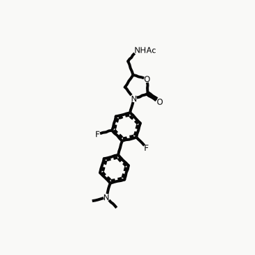 CC(=O)NCC1CN(c2cc(F)c(-c3ccc(N(C)C)cc3)c(F)c2)C(=O)O1